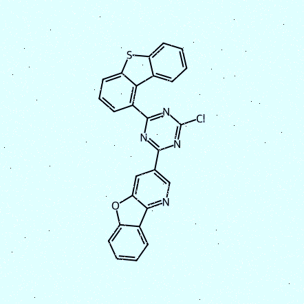 Clc1nc(-c2cnc3c(c2)oc2ccccc23)nc(-c2cccc3sc4ccccc4c23)n1